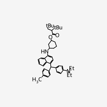 CCN(CC)c1ccc(C(c2ccc(C)cc2)c2ccc(NC3CCCC(OC(=O)C(CC(C)(C)C)C(C)(C)C)C3)c3ccccc23)cc1